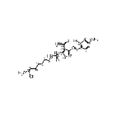 Cc1ccc(COc2nsc(NC(=O)NCCCCCCN(C)C)c2C(N)=O)c(F)c1